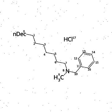 CCCCCCCCCCCCCCCCCN(C)Cc1ccccc1.Cl